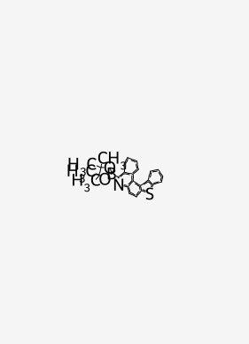 CC1(C)OB(c2nc3ccc4sc5ccccc5c4c3c3ccccc23)OC1(C)C